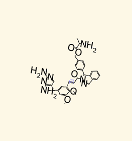 COc1cc(Cc2cnc(N)nc2N)cc(/C=C/C(=O)N2N=Cc3ccccc3C2c2ccc(COC(=O)C(C)N)cc2)c1OC